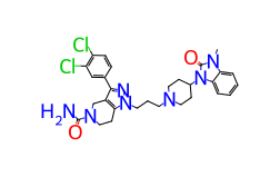 Cn1c(=O)n(C2CCN(CCCn3nc(-c4ccc(Cl)c(Cl)c4)c4c3CCN(C(N)=O)C4)CC2)c2ccccc21